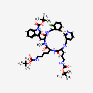 CN1C(=O)C(CCCCNC(=O)OC(C)(C)C)NC(=O)C(CCCNC(=O)OC(C)(C)C)NCc2cccnc2Sc2cccc(Br)c2CNC(=O)C1Cc1cn(C(=O)OC(C)(C)C)c2ccccc12